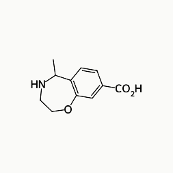 CC1NCCOc2cc(C(=O)O)ccc21